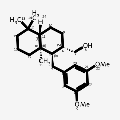 COc1cc(C[C@@H]2[C@@H](CO)CC[C@H]3C(C)(C)CCC[C@]23C)cc(OC)c1